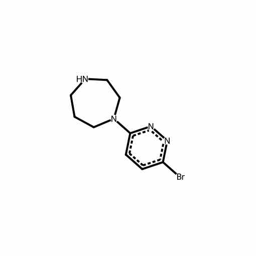 Brc1ccc(N2CCCNCC2)nn1